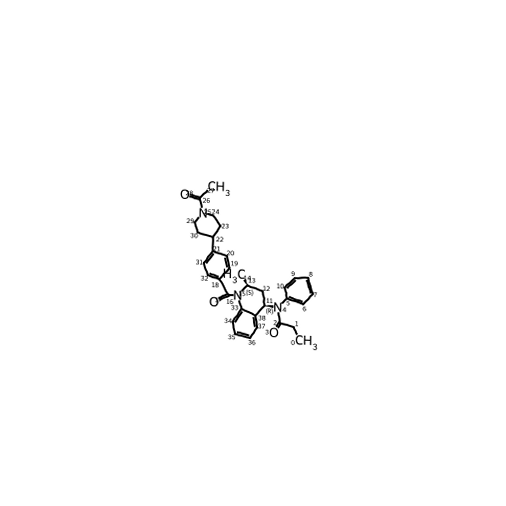 CCC(=O)N(c1ccccc1)[C@@H]1C[C@H](C)N(C(=O)c2ccc(C3CCN(C(C)=O)CC3)cc2)c2ccccc21